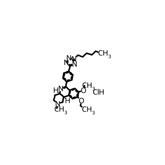 CCCCCCn1nnc(-c2ccc(C3=N[C@@H]4CCN(C)C[C@@H]4c4cc(OCC)c(OC)cc43)cc2)n1.Cl